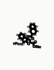 CCCCCN1C(=O)C(CCC(=O)OC)(NC(=O)C2CCc3ccccc3C2)c2ccccc21